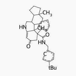 CC(C)(C)c1ccc(CNC(=O)C2(c3ccccc3)CC(=O)C=C3NCC4C5CCCC5(C)CCC4C32C)cc1